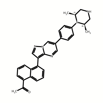 CC(=O)c1cccc2c(-c3cnn4cc(-c5ccc(N6[C@H](C)CNC[C@@H]6C)cc5)cnc34)cccc12